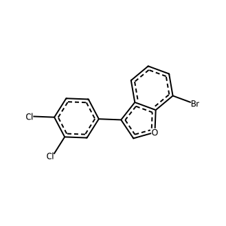 Clc1ccc(-c2coc3c(Br)cccc23)cc1Cl